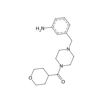 Nc1cccc(CN2CCN(C(=O)C3CCOCC3)CC2)c1